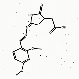 COc1ccc(C=NN=C2NC(=O)C(CC(=O)O)S2)c(OC)c1